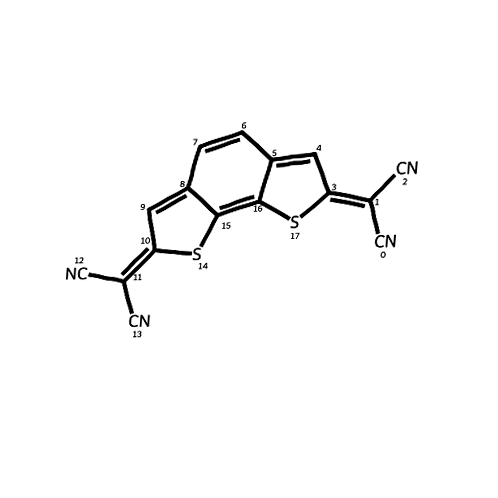 N#CC(C#N)=c1cc2ccc3cc(=C(C#N)C#N)sc3c2s1